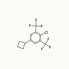 FC(F)(F)c1cc([C]2CCC2)cc(C(F)(F)F)c1Cl